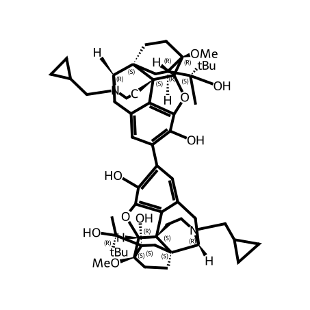 CO[C@]12CC[C@@]3(C[C@@H]1[C@](C)(O)C(C)(C)C)[C@H]1Cc4cc(-c5cc6c7c(c5O)O[C@H]5[C@@]8(OC)CC[C@@]9(C[C@]8(O)[C@](C)(O)C(C)(C)C)[C@@H](C6)N(CC6CC6)CC[C@]759)c(O)c5c4[C@@]3(CCN1CC1CC1)[C@H]2O5